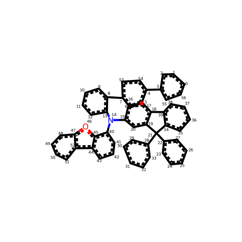 c1ccc(-c2ccc(-c3ccccc3N(c3ccc4c(c3)C(c3ccccc3)(c3ccccc3)c3ccccc3-4)c3cccc4c3oc3ccccc34)cc2)cc1